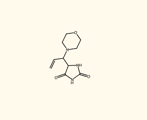 C=CC(C1NC(=O)NC1=O)N1CCOCC1